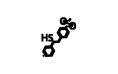 CS(=O)(=O)c1ccc(CC(S)c2cc[c]cc2)cc1